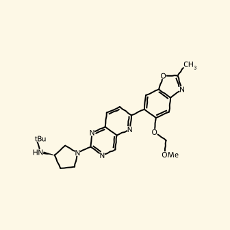 COCOc1cc2nc(C)oc2cc1-c1ccc2nc(N3CC[C@@H](NC(C)(C)C)C3)ncc2n1